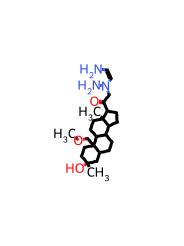 COCC12CCC(C)(O)CC1CCC1C3CCC(C(=O)CN(N)/C=C\N)C3(C)CCC12